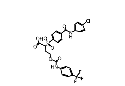 O=C(Nc1ccc(C(F)(F)F)cc1)OCCC(C(=O)O)S(=O)(=O)c1ccc(C(=O)Nc2ccc(Cl)cc2)cc1